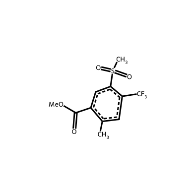 COC(=O)c1cc(S(C)(=O)=O)c(C(F)(F)F)cc1C